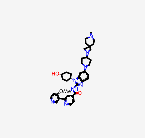 COc1ccncc1-c1cc(C(=O)Nc2nc3ccc(N4CCC(N5CC6(CCN(C)CC6)C5)CC4)cc3n2[C@H]2CC[C@@H](O)CC2)ccn1